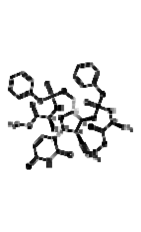 C#C[C@@H]1[C@H](OP(=O)(N[C@@H](C)C(=O)OC)Oc2ccccc2)[C@@H](COP(=O)(N[C@@H](C)C(=O)OC)Oc2ccccc2)O[C@H]1n1ccc(=O)[nH]c1=O